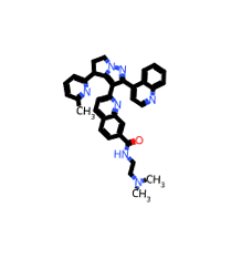 Cc1cccc(C2CCn3nc(-c4ccnc5ccccc45)c(-c4ccc5ccc(C(=O)NCCN(C)C)cc5n4)c32)n1